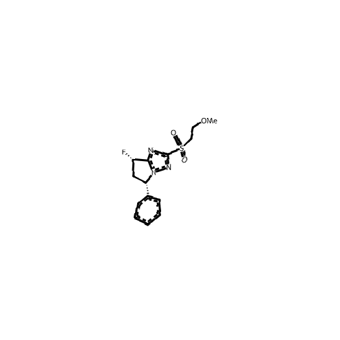 COCCS(=O)(=O)c1nc2n(n1)[C@H](c1ccccc1)C[C@@H]2F